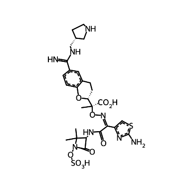 CC1(C)[C@H](NC(=O)/C(=N\O[C@](C)(C(=O)O)[C@H]2CCc3cc(C(=N)NC[C@@H]4CCNC4)ccc3O2)c2csc(N)n2)C(=O)N1OS(=O)(=O)O